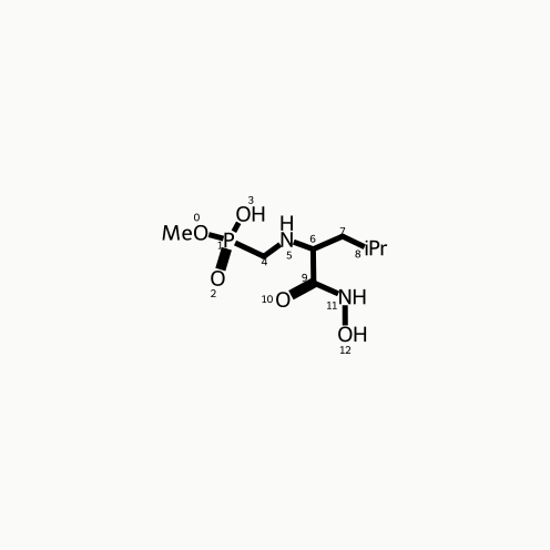 COP(=O)(O)CNC(CC(C)C)C(=O)NO